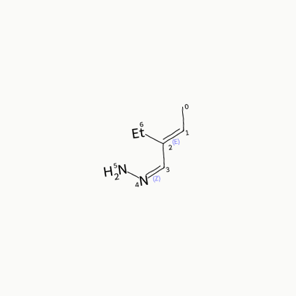 C/C=C(/C=N\N)CC